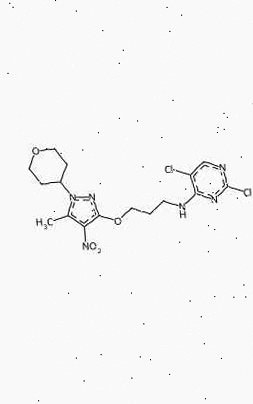 Cc1c([N+](=O)[O-])c(OCCCNc2nc(Cl)ncc2Cl)nn1C1CCOCC1